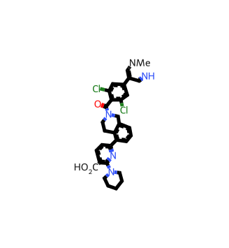 CN/C=C(\C=N)c1cc(Cl)c(C(=O)N2CCc3c(cccc3-c3ccc(C(=O)O)c(N4CCCCC4)n3)C2)c(Cl)c1